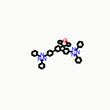 c1ccc(-c2nc(-c3ccccc3)nc(-c3ccc(-c4ccc5c(c4)-c4ccc(-c6nc(-c7ccccc7)nc(-c7ccccc7)n6)cc4C54c5ccccc5Oc5ccccc54)cc3)n2)cc1